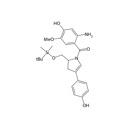 COc1cc(C(=O)N2C=C(c3ccc(O)cc3)CC2CO[Si](C)(C)C(C)(C)C)c(N)cc1O